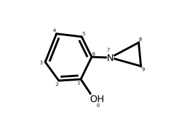 Oc1ccccc1N1CC1